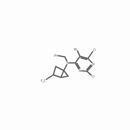 CC(C)CN(c1nc(Cl)nc(Cl)c1Br)C12CC(C(F)(F)F)C1C2